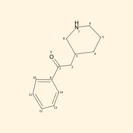 O=C(CC1CCCNC1)c1ccccc1